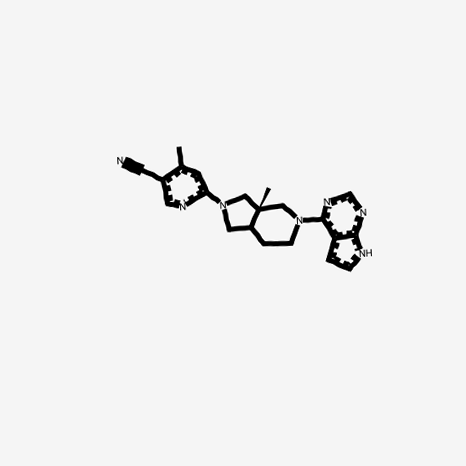 Cc1cc(N2CC3CCN(c4ncnc5[nH]ccc45)C[C@@]3(C)C2)ncc1C#N